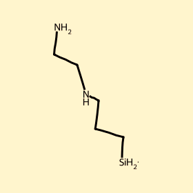 NCCNCCC[SiH2]